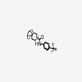 O=C(Nc1ccc(C(F)(F)F)cc1)N1CCC2(CC1)OCCO2